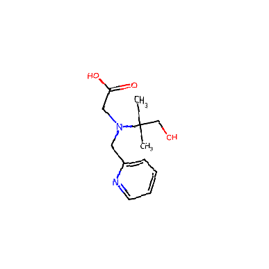 CC(C)(CO)N(CC(=O)O)Cc1ccccn1